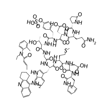 C/C=C/C(=O)N(CC)c1ccccc1C.CSCC[C@H](NC(=O)[C@H](Cc1c[nH]c2ccccc12)NC(=O)CNC(=O)[C@@H](NC(=O)[C@H](Cc1ccc(OS(=O)(=O)O)cc1)NC(=O)[C@H](CC(=O)O)NC(=O)[C@H](CCC(N)=O)NC(=O)[C@@H]1CCC(=O)N1)[C@@H](C)O)C(=O)N[C@@H](CC(=O)O)C(=O)N[C@@H](Cc1ccccc1)C(N)=O.Nc1c2c(nc3ccccc13)CCCC2